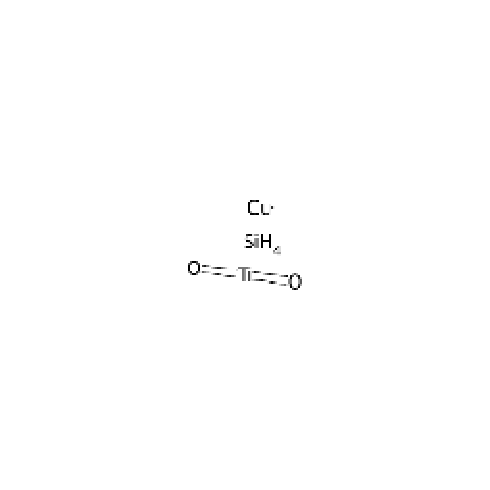 [Cu].[O]=[Ti]=[O].[SiH4]